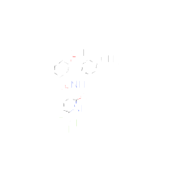 COc1cc(C)ccc1C(NC(=O)c1ccc(C(F)(F)F)[nH]c1=O)c1ccccc1